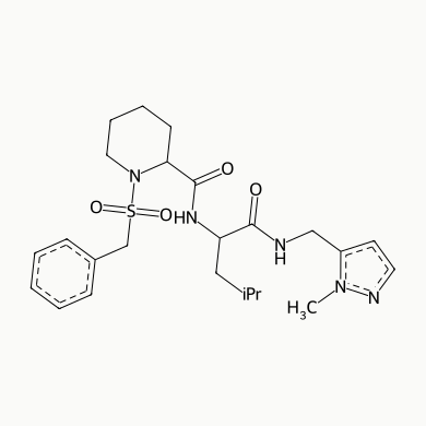 CC(C)CC(NC(=O)C1CCCCN1S(=O)(=O)Cc1ccccc1)C(=O)NCc1ccnn1C